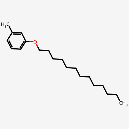 CCCCCCCCCCCCCOc1cccc(C)c1